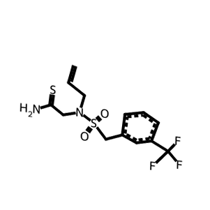 C=CCN(CC(N)=S)S(=O)(=O)Cc1cccc(C(F)(F)F)c1